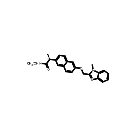 C[C@H](C(=O)N(C)O)c1ccc2cc(OCc3nc4ccccc4n3C)ccc2c1